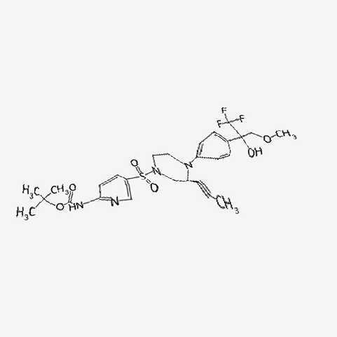 CC#C[C@H]1CN(S(=O)(=O)c2ccc(NC(=O)OC(C)(C)C)nc2)CCN1c1ccc(C(O)(COC)C(F)(F)F)cc1